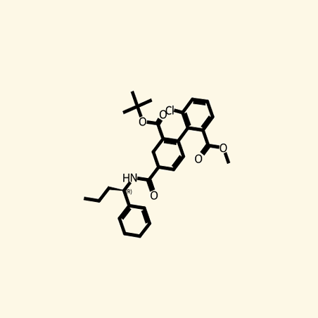 CCC[C@@H](NC(=O)C1C=CC(c2c(Cl)cccc2C(=O)OC)=C(C(=O)OC(C)(C)C)C1)C1=CCCC=C1